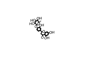 C[C@H]1O[C@@H](Oc2ccc(C3CC(=O)c4c(O)cc(O)cc4O3)cc2O)[C@@H](O)[C@@H](O)[C@H]1O